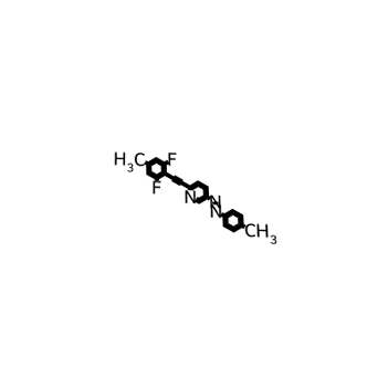 Cc1ccc(N=Nc2ccc(C#Cc3c(F)cc(C)cc3F)nc2)cc1